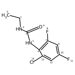 CCNC(=O)Nc1c(F)cc(F)cc1Cl